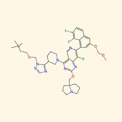 COCOc1cc(-c2ncc3c(N4CCCC(c5ncnn5COCC[Si](C)(C)C)C4)nc(OCC45CCCN4CCC5)nc3c2F)c2c(F)c(F)ccc2c1